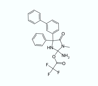 CN1C(=O)C(c2ccccc2)(c2cccc(-c3ccccc3)c2)NC1(N)OC(=O)C(F)(F)F